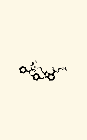 CCOC(=O)c1cccc2c1nc(OCC)n2Cc1ccc(OC(C(=O)OCC)c2ccccc2)cc1